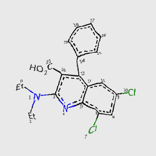 CCN(CC)c1nc2c(Cl)cc(Cl)cc2c(-c2ccccc2)c1C(=O)O